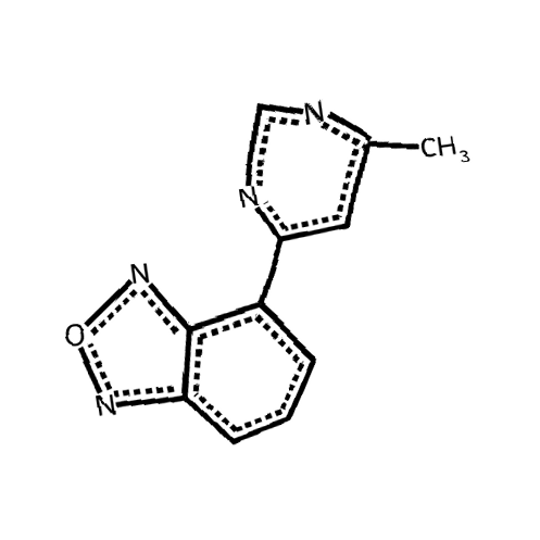 Cc1cc(-c2cccc3nonc23)ncn1